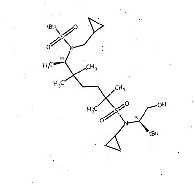 C[C@@H](N(CC1CC1)S(=O)(=O)C(C)(C)C)C(C)(C)CCC(C)(C)S(=O)(=O)N(C1CC1)[C@@H](CO)C(C)(C)C